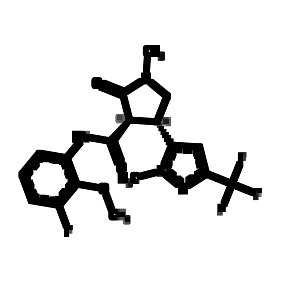 COc1c(F)cccc1NC(=O)[C@H]1C(=O)N(C)C[C@@H]1c1cc(C(F)(F)F)nn1C